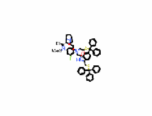 CCC(=NOC)[C@@H]1C2CCC(C[C@@H]1c1ccc(F)cc1)N2CCCN(CCSC(c1ccccc1)(c1ccccc1)c1ccccc1)CC(=O)NCCSC(c1ccccc1)(c1ccccc1)c1ccccc1